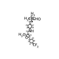 Cc1oc(-c2ccc(C(F)(F)F)cc2)cc1CNc1ccc(CSC(C)(C)C=O)cc1